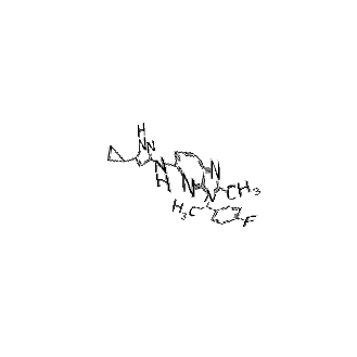 Cc1nc2ccc(Nc3cc(C4CC4)[nH]n3)nc2n1C(C)c1ccc(F)cc1